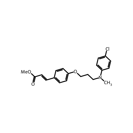 COC(=O)/C=C/c1ccc(OCCCN(C)c2ccc(Cl)cc2)cc1